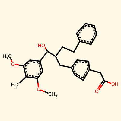 COc1cc(C(O)C(CCc2ccccc2)Cc2ccc(CC(=O)O)cc2)cc(OC)c1C